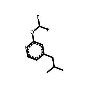 CC(C)Cc1ccnc(OC(F)F)c1